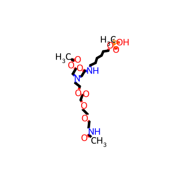 CC(=O)NCCOCCOCC(=O)OCCN(CCOC(C)=O)CC(=O)NCCCCCCOP(C)(=O)O